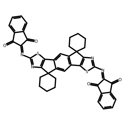 O=c1c(=Nc2nc3c(s2)-c2cc4c(cc2C32CCCCC2)-c2sc(N=c3c(=O)c5ccccc5c3=O)nc2C42CCCCC2)c(=O)c2ccccc12